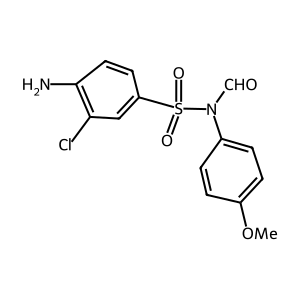 COc1ccc(N(C=O)S(=O)(=O)c2ccc(N)c(Cl)c2)cc1